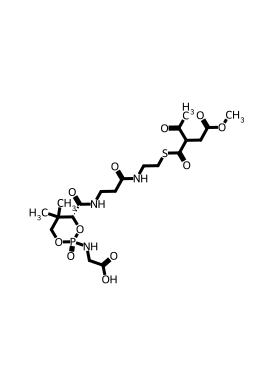 COC(=O)CC(C(C)=O)C(=O)SCCNC(=O)CCNC(=O)[C@@H]1OP(=O)(NCC(=O)O)OCC1(C)C